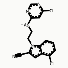 N#Cc1cc2c(Cl)cccc2n1CC[AsH]c1cc(Cl)ncn1